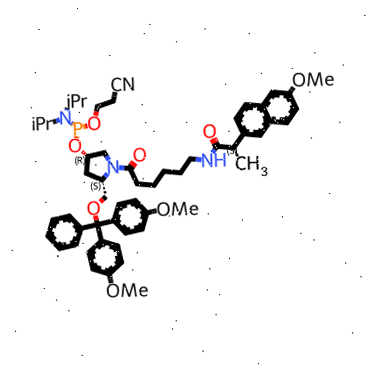 COc1ccc(C(OC[C@@H]2C[C@@H](OP(OCCC#N)N(C(C)C)C(C)C)CN2C(=O)CCCCCNC(=O)[C@@H](C)c2ccc3cc(OC)ccc3c2)(c2ccccc2)c2ccc(OC)cc2)cc1